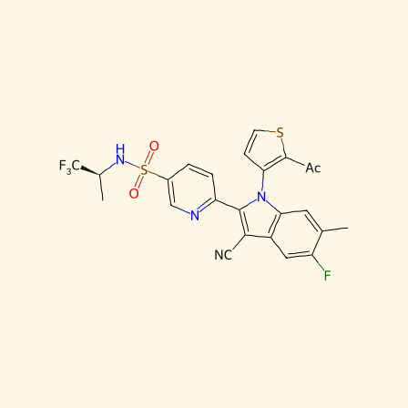 CC(=O)c1sccc1-n1c(-c2ccc(S(=O)(=O)N[C@@H](C)C(F)(F)F)cn2)c(C#N)c2cc(F)c(C)cc21